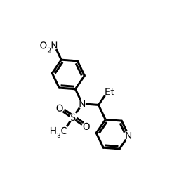 CCC(c1cccnc1)N(c1ccc([N+](=O)[O-])cc1)S(C)(=O)=O